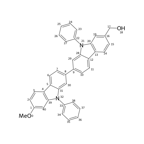 COc1ccc2c3ccc(-c4ccc5c6ccc(CO)cc6n(-c6ccccc6)c5c4)cc3n(-c3ccccc3)c2c1